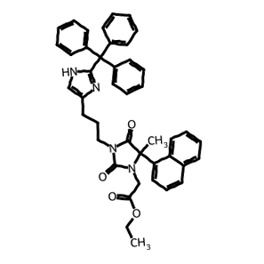 CCOC(=O)CN1C(=O)N(CCCc2c[nH]c(C(c3ccccc3)(c3ccccc3)c3ccccc3)n2)C(=O)C1(C)c1cccc2ccccc12